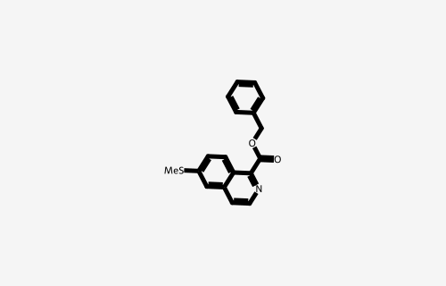 CSc1ccc2c(C(=O)OCc3ccccc3)nccc2c1